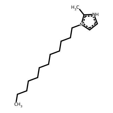 CCCCCCCCCCCC[n+]1cc[nH]c1C